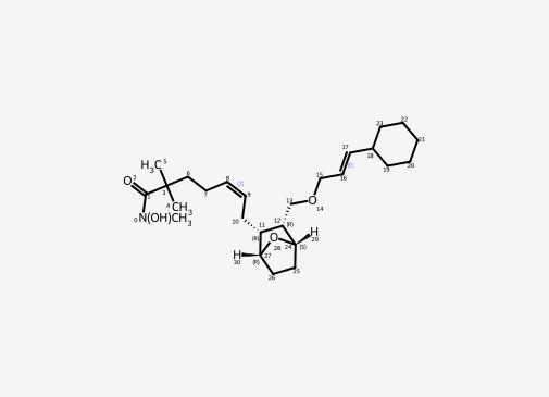 CN(O)C(=O)C(C)(C)CC/C=C\C[C@@H]1[C@H](COC/C=C/C2CCCCC2)[C@@H]2CC[C@H]1O2